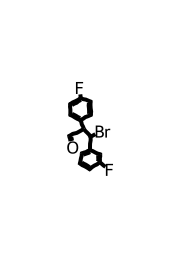 O=CC(c1ccc(F)cc1)C(Br)c1cccc(F)c1